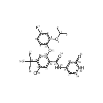 CC(C)Oc1cc(F)ccc1Oc1cc(C(F)(F)F)c(Cl)cc1C(=O)Nc1cn[nH]c(=O)c1